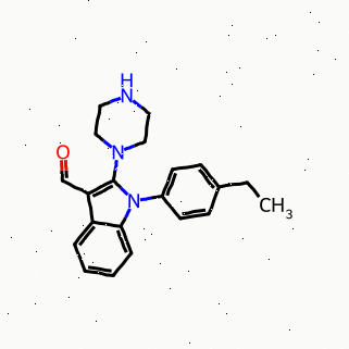 CCc1ccc(-n2c(N3CCNCC3)c(C=O)c3ccccc32)cc1